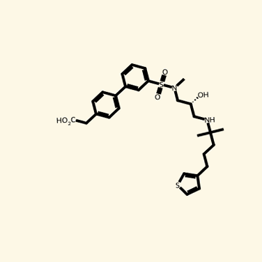 CN(C[C@H](O)CNC(C)(C)CCCc1ccsc1)S(=O)(=O)c1cccc(-c2ccc(CC(=O)O)cc2)c1